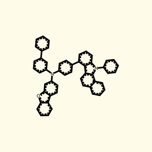 c1ccc(-c2cccc(N(c3ccc(-c4cccc5c4c4ccc6ccccc6c4n5-c4ccccc4)cc3)c3ccc4c(c3)oc3ccccc34)c2)cc1